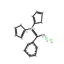 C[C](c1ccccc1)=[Hf+2]([C]1=CC=CC1)[C]1=CC=CC1.[Cl-].[Cl-]